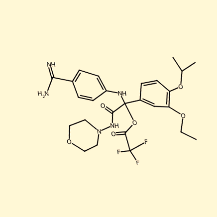 CCOc1cc(C(Nc2ccc(C(=N)N)cc2)(OC(=O)C(F)(F)F)C(=O)NN2CCOCC2)ccc1OC(C)C